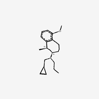 CCCN(CC1CC1)[C@@H]1CCc2c(OC)cccc2[C@@H]1C